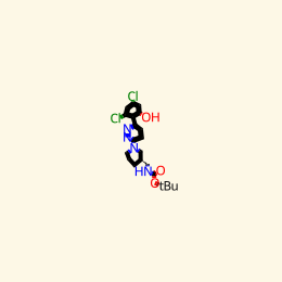 CC(C)(C)OC(=O)NC[C@@H]1CCCN(c2ccc(-c3c(O)cc(Cl)cc3Cl)nn2)C1